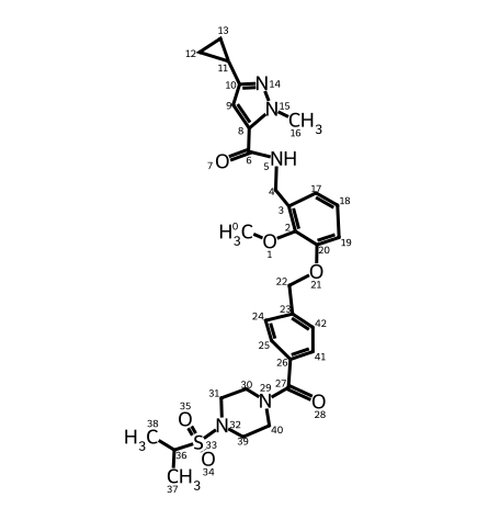 COc1c(CNC(=O)c2cc(C3CC3)nn2C)cccc1OCc1ccc(C(=O)N2CCN(S(=O)(=O)C(C)C)CC2)cc1